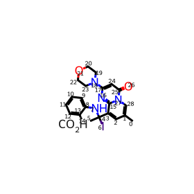 Cc1cc(C(C)(I)Nc2ccccc2C(=O)O)c2nc(N3CCOCC3)cc(=O)n2c1